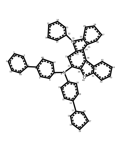 c1ccc(-c2ccc(N(c3ccc(-c4ccccc4)cc3)c3cc4c(c5ccccc5n4-c4ccccc4)c4c3oc3ccccc34)cc2)cc1